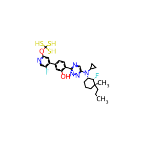 CCC[C@]1(C)CCC[C@H](N(c2cnc(-c3ccc(-c4cc(OC(S)(S)S)ncc4F)cc3O)nn2)C2CC2)[C@@H]1F